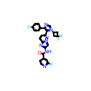 O=C(Nc1cn2nc(-c3c(-c4ccc(F)cc4)ncn3C3CC(F)(F)C3)ccc2n1)c1ccnc(F)c1